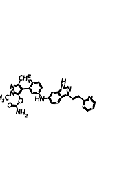 Cc1nn(C)c(OC(N)=O)c1-c1cc(Nc2ccc3c(/C=C/c4ccccn4)n[nH]c3c2)ccc1F